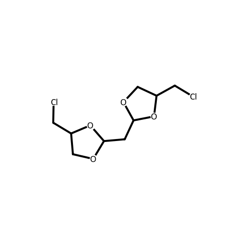 ClCC1COC(CC2OCC(CCl)O2)O1